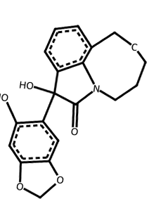 O=C1N2CCCCCc3cccc(c32)C1(O)c1cc2c(cc1O)OCO2